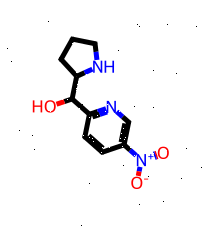 O=[N+]([O-])c1ccc(C(O)C2CCCN2)nc1